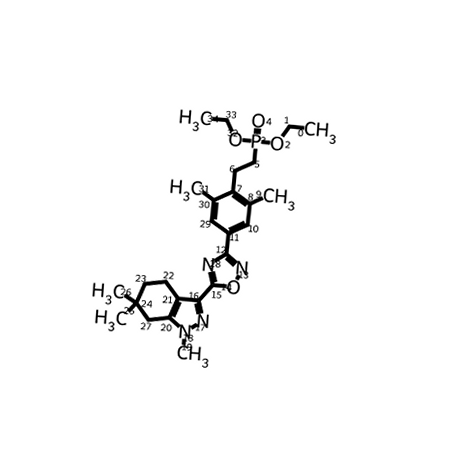 CCOP(=O)(CCc1c(C)cc(-c2noc(-c3nn(C)c4c3CCC(C)(C)C4)n2)cc1C)OCC